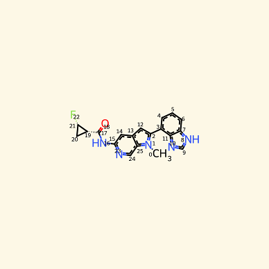 Cn1c(-c2cccc3[nH]cnc23)cc2cc(NC(=O)[C@@H]3C[C@@H]3F)ncc21